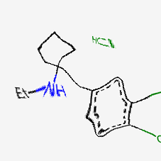 CCNC1(c2ccc(Cl)c(Cl)c2)CCC1.Cl